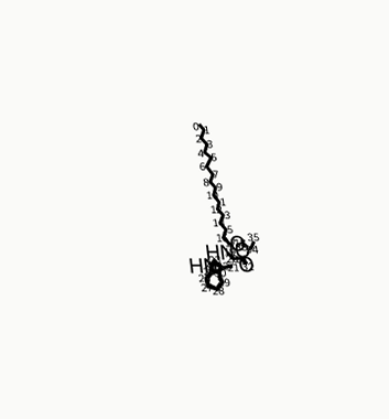 CCCCCCCCCCCCCCCCCC(=O)N[C@@H](Cc1c[nH]c2ccccc12)C(=O)OCC